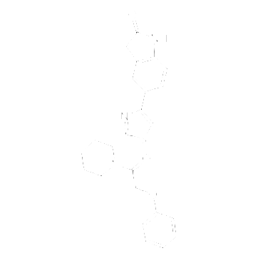 O=C1Cc2cc(-c3csc([C@H]4CCCCN4C(=O)COc4ccccc4)n3)ccc2N1